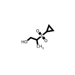 CC(CO)S(=O)(=O)C1CC1